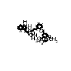 COc1cc(COc2ccccc2CCC(=O)N[C@@H](CO)Cc2c[nH]c3ccccc23)cc(OC)c1OC